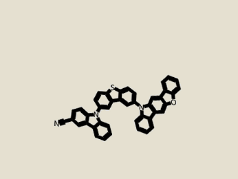 N#Cc1ccc2c(c1)c1ccccc1n2-c1ccc2sc3ccc(-n4c5ccccc5c5cc6oc7ccccc7c6cc54)cc3c2c1